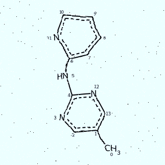 Cc1cnc(Nc2ccccn2)nc1